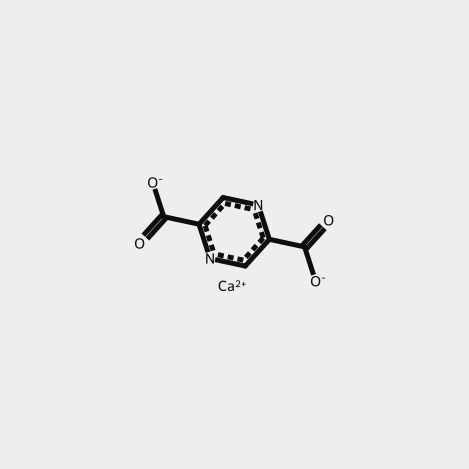 O=C([O-])c1cnc(C(=O)[O-])cn1.[Ca+2]